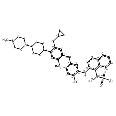 COc1cc(N2CCC(N3CCN(C)CC3)CC2)c(CC2CC2)cc1Nc1ncc(Cl)c(Nc2ccc3nccnc3c2N(C)S(=O)(=O)C(F)(F)F)n1